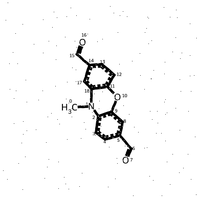 CN1c2ccc(C=O)cc2Oc2ccc(C=O)cc21